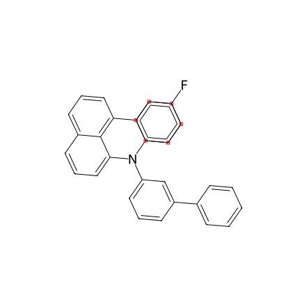 Fc1ccc(N(c2cccc(-c3ccccc3)c2)c2cccc3cccc(-c4ccccc4)c23)cc1